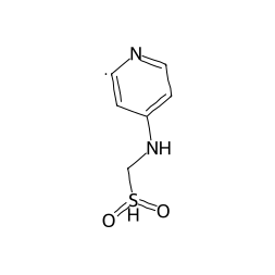 O=[SH](=O)CNc1c[c]ncc1